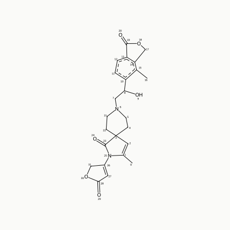 CC1=CC2(CCN(CC(O)c3ccc4c(c3C)COC4=O)CC2)C(=O)N1C1=CC(=O)OC1